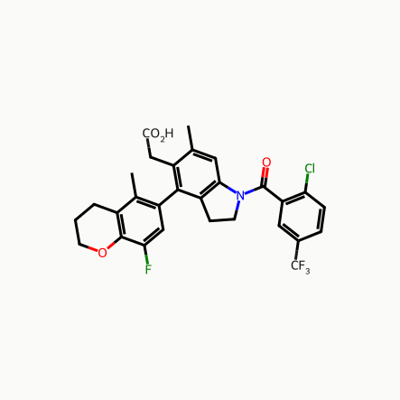 Cc1cc2c(c(-c3cc(F)c4c(c3C)CCCO4)c1CC(=O)O)CCN2C(=O)c1cc(C(F)(F)F)ccc1Cl